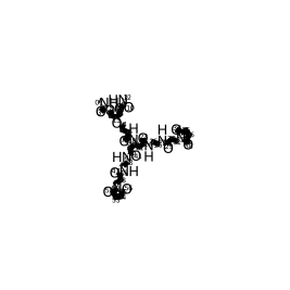 CNC(=O)OCC(COC(=O)NC)OCCCC(=O)NC(CC(=O)NCCNC(=O)CCN1C(=O)C=CC1=O)CC(=O)NCCNC(=O)CCN1C(=O)C=CC1=O